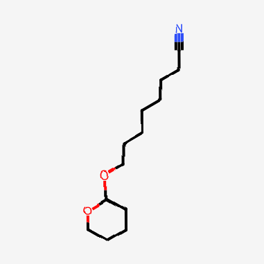 N#CCCCCCCCOC1CCCCO1